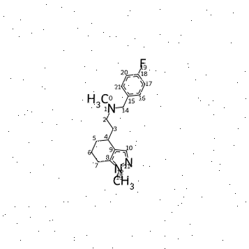 CN(CCC1CCCc2c1cnn2C)Cc1ccc(F)cc1